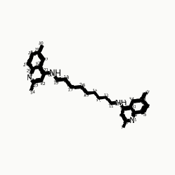 Cc1ccc2nc(C)cc(NCCCCCCCCCNc3cc(C)nc4ccc(C)cc34)c2c1